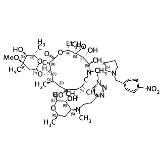 CC[C@H]1OC(=O)[C@H](C)[C@@H](O[C@H]2C[C@@](C)(OC)[C@@H](O)[C@H](C)O2)[C@H](C)[C@@H](O[C@@H]2O[C@H](C)C[C@H](N(C)CCc3cn(C[C@@H]4CCCN4Cc4ccc([N+](=O)[O-])cc4)nn3)[C@H]2O)[C@](C)(O)C[C@@H](C)CN(C)[C@H](C)[C@@H](O)[C@]1(C)O